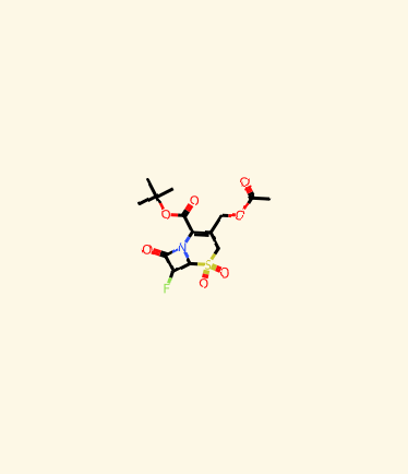 CC(=O)OCC1=C(C(=O)OC(C)(C)C)N2C(=O)C(F)C2S(=O)(=O)C1